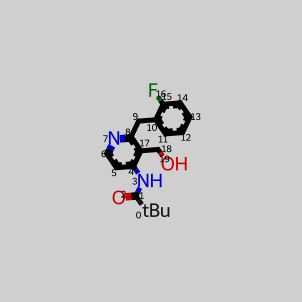 CC(C)(C)C(=O)Nc1ccnc(Cc2ccccc2F)c1CO